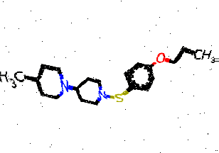 CCCOc1ccc(SN2CCC(N3CCC(C)CC3)CC2)cc1